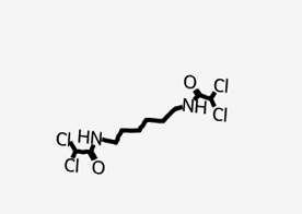 O=C(NCCCCCCNC(=O)C(Cl)Cl)C(Cl)Cl